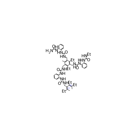 CCNC(=O)Nc1ccccc1NC(=O)NCc1c(CC)c(CNC(=O)Nc2ccccc2NC(N)=O)c(C)c(CNC(=O)Nc2ccccc2NC(=O)NCC(=C(/C)CC)/C(CC)=C(\C)CC)c1CC